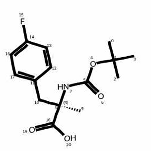 CC(C)(C)OC(=O)N[C@](C)(Cc1ccc(F)cc1)C(=O)O